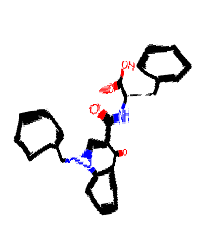 O=C(N[C@@H](Cc1ccccc1)C(=O)O)c1cn(Cc2ccccc2)c2ccccc2c1=O